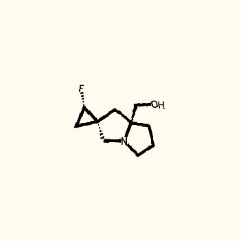 OC[C@@]12CCCN1C[C@@]1(C[C@@H]1F)C2